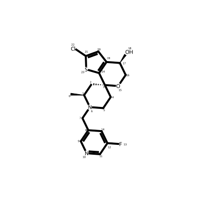 C[C@H]1C[C@@]2(CCN1Cc1cncc(F)c1)OC[C@H](O)c1cc(Cl)sc12